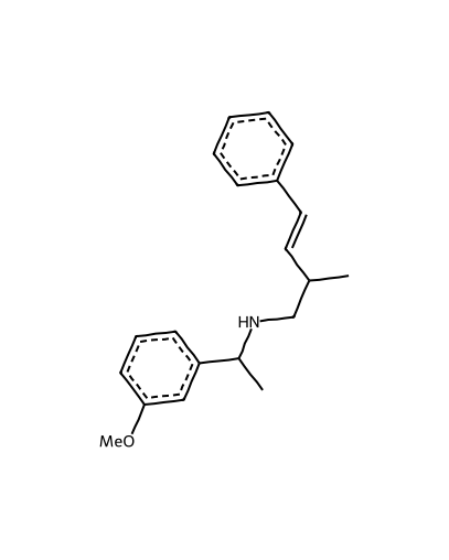 COc1cccc(C(C)NCC(C)/C=C/c2ccccc2)c1